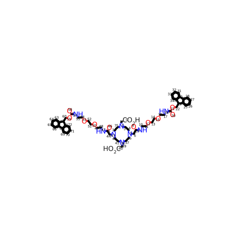 O=C(O)CN1CCN(CC(=O)NCCOCCOCCNC(=O)OCC2c3ccccc3-c3ccccc32)CCN(CC(=O)O)CCN(CC(=O)NCCOCCOCCNC(=O)OCC2c3ccccc3-c3ccccc32)CC1